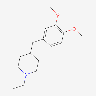 CCN1CCC(Cc2ccc(OC)c(OC)c2)CC1